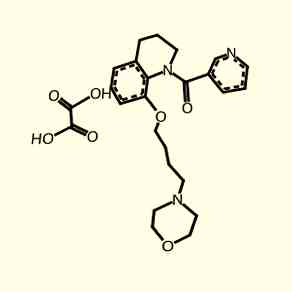 O=C(O)C(=O)O.O=C(c1cccnc1)N1CCCc2cccc(OCCCCN3CCOCC3)c21